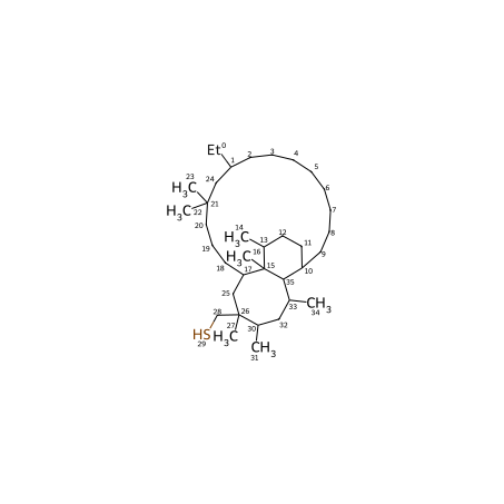 CCC1CCCCCCCCC2CCC(C)C3(C)C(CCCC(C)(C)C1)CC(C)(CS)C(C)CC(C)C23